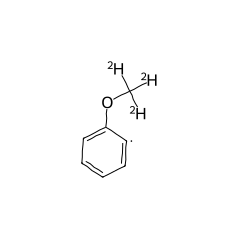 [2H]C([2H])([2H])Oc1[c]cccc1